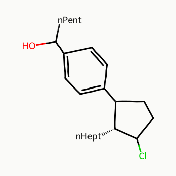 CCCCCCC[C@H]1C(Cl)CCC1c1ccc(C(O)CCCCC)cc1